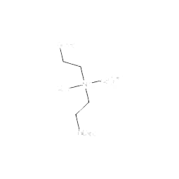 CCCCCCCCCCCC[N+](CCCC)(CCCC)CCCCCCCCCCCC.[OH-]